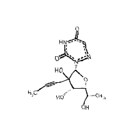 CC#CC1(O)[C@@H](O)[C@@H]([C@H](C)O)O[C@H]1n1ncc(=O)[nH]c1=O